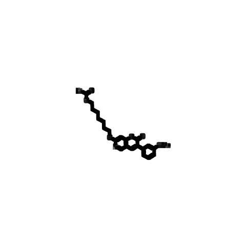 CCC(=O)OCCCCCCCOc1cc2oc(=O)c(-c3cccc(OC)c3)cc2cn1